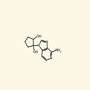 Nc1nccc2c1ncn2C1(O)CCCC1O